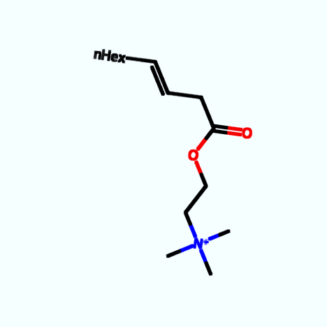 CCCCCCC=CCC(=O)OCC[N+](C)(C)C